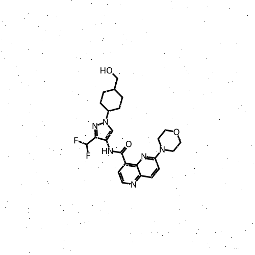 O=C(Nc1cn(C2CCC(CO)CC2)nc1C(F)F)c1ccnc2ccc(N3CCOCC3)nc12